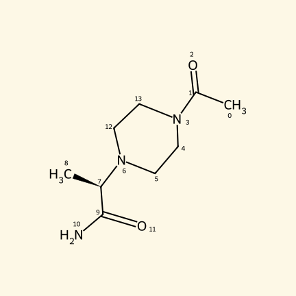 CC(=O)N1CCN([C@H](C)C(N)=O)CC1